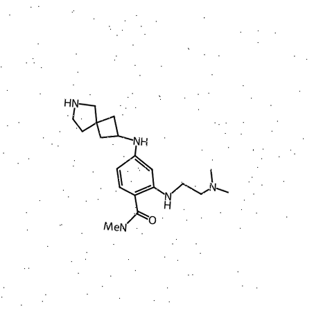 CNC(=O)c1ccc(NC2CC3(CCNC3)C2)cc1NCCN(C)C